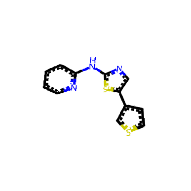 c1ccc(Nc2ncc(-c3ccsc3)s2)nc1